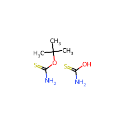 CC(C)(C)OC(N)=S.NC(O)=S